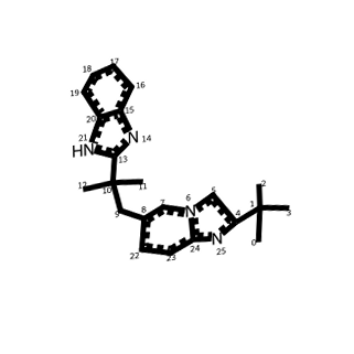 CC(C)(C)c1cn2cc(CC(C)(C)c3nc4ccccc4[nH]3)ccc2n1